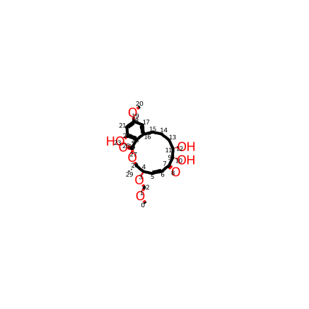 COCO[C@@H]1/C=C\C(=O)[C@@H](O)[C@@H](O)CCCc2cc(OC)cc(O)c2C(=O)O[C@H]1C